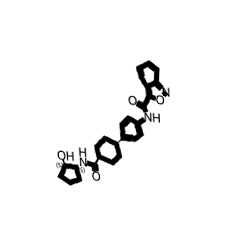 O=C(Nc1ccc([C@H]2CC[C@H](C(=O)N[C@H]3CCC[C@@H]3O)CC2)cc1)c1onc2ccccc12